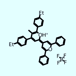 CCc1ccc(C2=CC(=C3C=C(c4ccccc4)OC(c4ccccc4)=C3)[OH+]C(c3ccc(CC)cc3)=C2C)cc1.F[B-](F)(F)F